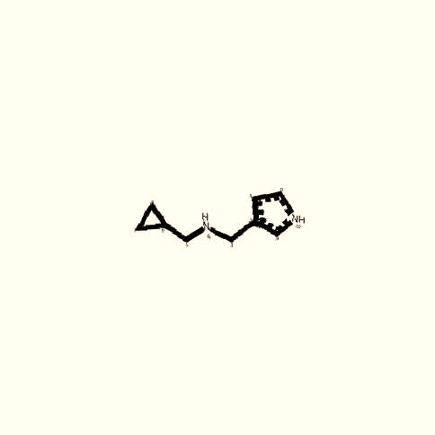 c1cc(CNCC2CC2)c[nH]1